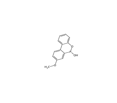 COc1ccc2c(c1)P(O)Oc1ccccc1-2